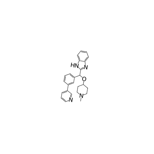 CN1CCC(OC(c2cccc(-c3cccnc3)c2)c2nc3ccccc3[nH]2)CC1